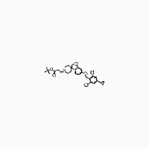 CC(C)(C)OC(=O)CCN1CCC2(CC1)COc1cc(OCc3c(Cl)cc(C4CC4)cc3Cl)ccc12